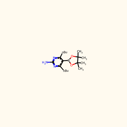 CCCCc1nc(N)nc(CCCC)c1B1OC(C)(C)C(C)(C)O1